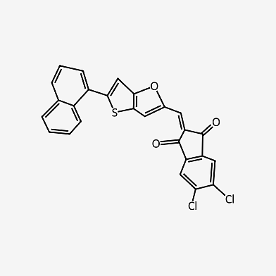 O=C1C(=Cc2cc3sc(-c4cccc5ccccc45)cc3o2)C(=O)c2cc(Cl)c(Cl)cc21